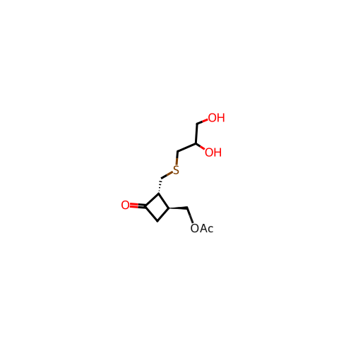 CC(=O)OC[C@H]1CC(=O)[C@@H]1CSCC(O)CO